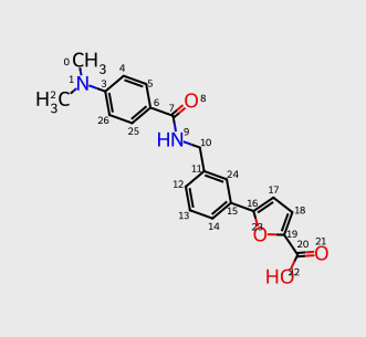 CN(C)c1ccc(C(=O)NCc2cccc(-c3ccc(C(=O)O)o3)c2)cc1